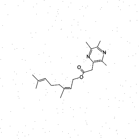 CC(C)=CCCC(C)=CCOC(=O)Cc1nc(C)c(C)nc1C